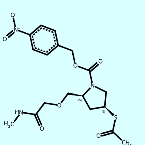 CNC(=O)COC[C@@H]1C[C@H](SC(C)=O)CN1C(=O)OCc1ccc([N+](=O)[O-])cc1